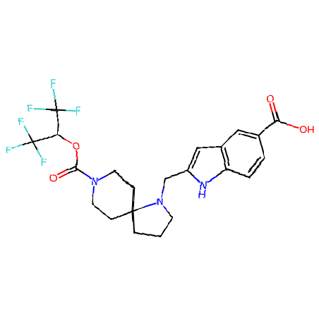 O=C(O)c1ccc2[nH]c(CN3CCCC34CCN(C(=O)OC(C(F)(F)F)C(F)(F)F)CC4)cc2c1